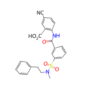 CN(CCc1ccccc1)S(=O)(=O)c1cccc(C(=O)Nc2ccc(C#N)cc2C(=O)O)c1